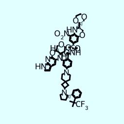 CC(C)(c1ccccc1[C@@H]1CCCN1C1CC2(CCN(c3ccc(C(=O)NS(=O)(=O)c4cc5c(c([N+](=O)[O-])c4)N[C@@H]([C@H]4COCCO4)CO5)c(N4c5cc6cc[nH]c6nc5O[C@@H]5COCC[C@H]54)c3)CC2)C1)C(F)(F)F